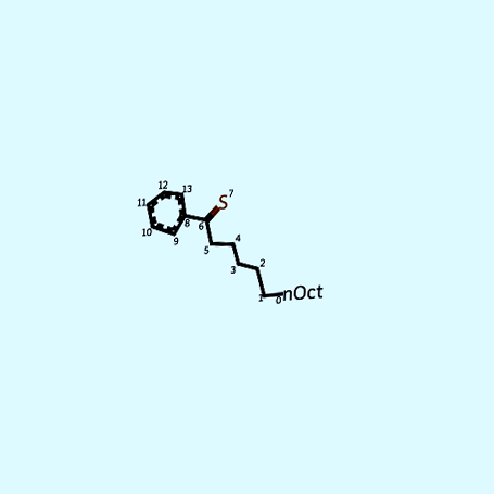 CCCCCCCCCCCCCC(=S)c1ccccc1